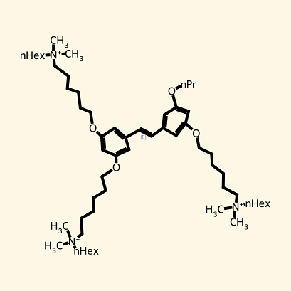 CCCCCC[N+](C)(C)CCCCCCOc1cc(/C=C/c2cc(OCCCCCC[N+](C)(C)CCCCCC)cc(OCCCCCC[N+](C)(C)CCCCCC)c2)cc(OCCC)c1